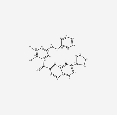 O=C(c1ccc2ncc(N3CCCC3)nc2c1)c1cc(OCc2ccccc2)cc(F)c1F